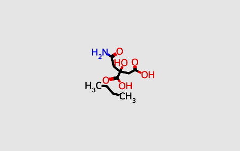 CCCC.NC(=O)CC(O)(CC(=O)O)C(=O)O